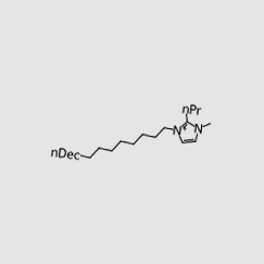 CCCCCCCCCCCCCCCCCC[n+]1ccn(C)c1CCC